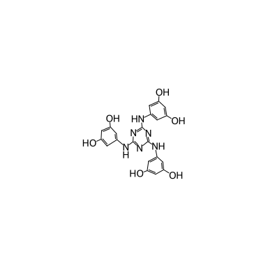 Oc1cc(O)cc(Nc2nc(Nc3cc(O)cc(O)c3)nc(Nc3cc(O)cc(O)c3)n2)c1